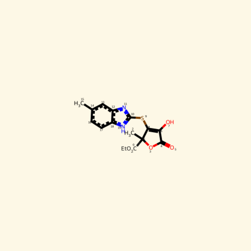 CCOC(=O)C1(C)OC(=O)C(O)=C1Sc1nc2cc(C)ccc2[nH]1